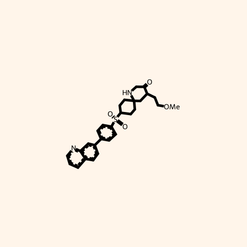 COCCC1CC2(CCC(S(=O)(=O)c3ccc(-c4ccc5cccnc5c4)cc3)CC2)NCC1=O